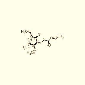 CCOC(=O)COC(C(=O)OCC)=C(OC)N(C)C